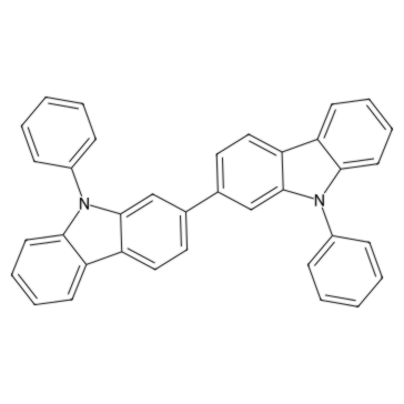 c1ccc(-n2c3ccccc3c3ccc(-c4ccc5c6ccccc6n(-c6ccccc6)c5c4)cc32)cc1